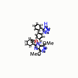 CCO[N+]1(Cc2ccc(-c3ccccc3-c3nnn[nH]3)cc2)C(C2CCCCC2)=Nc2c(OC)nnc(OC)c21